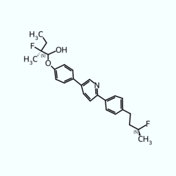 CC[C@](C)(F)C(O)Oc1ccc(-c2ccc(-c3ccc(CC[C@H](C)F)cc3)nc2)cc1